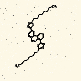 CCCCCCCCc1nnc(-c2ccc3ccc4c(-c5nnc(CCCCCCCC)s5)cccc4c3c2)s1